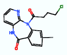 Cc1ccc2c(c1)N(C(=O)CCCCl)c1ncccc1NC2=O